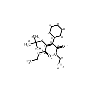 CCOC(=O)/C(CC(C)(C)C)=C(\C(=O)OCC)C1CCCCC1